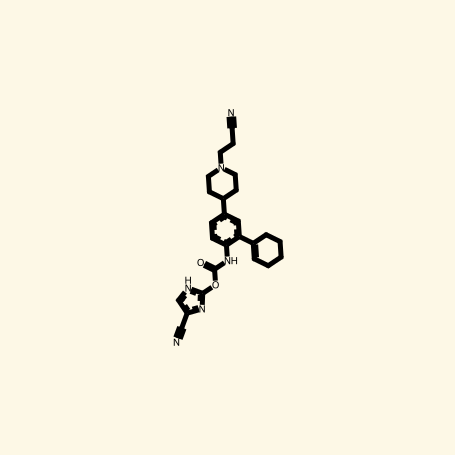 N#CCCN1CCC(c2ccc(NC(=O)Oc3nc(C#N)c[nH]3)c(C3=CCCCC3)c2)CC1